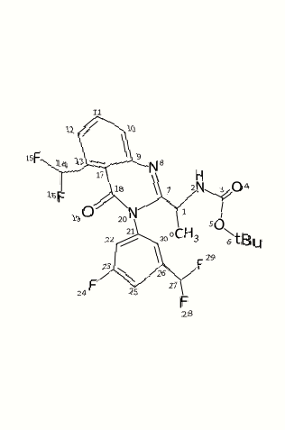 CC(NC(=O)OC(C)(C)C)c1nc2cccc(C(F)F)c2c(=O)n1-c1cc(F)cc(C(F)F)c1